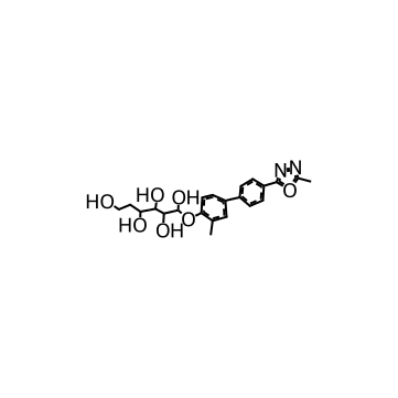 Cc1nnc(-c2ccc(-c3ccc(OC(O)C(O)C(O)C(O)CCO)c(C)c3)cc2)o1